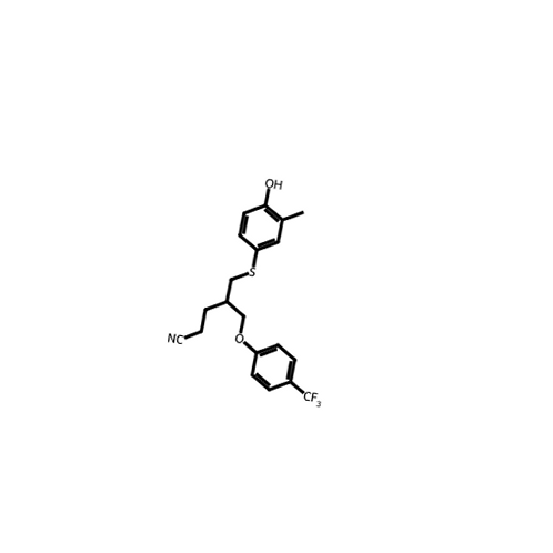 Cc1cc(SCC(CCC#N)COc2ccc(C(F)(F)F)cc2)ccc1O